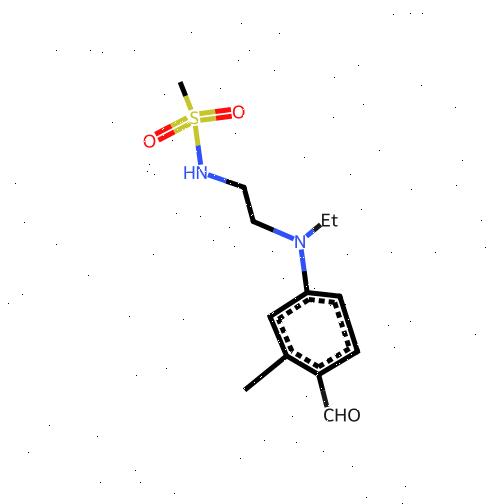 CCN(CCNS(C)(=O)=O)c1ccc(C=O)c(C)c1